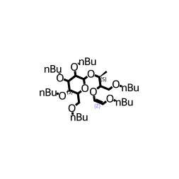 CCCCO/C=C\OC(COCCCC)[C@H](C)OC1OC(COCCCC)[C@H](OCCCC)C(OCCCC)C1OCCCC